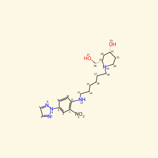 O=[N+]([O-])c1cc(-n2nccn2)ccc1NCCCCCCN1CC[C@@H](O)C[C@H]1CO